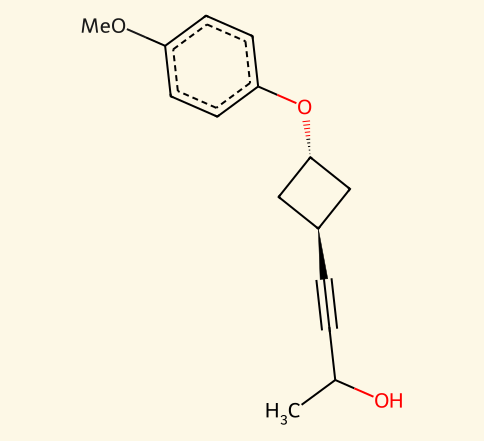 COc1ccc(O[C@H]2C[C@H](C#CC(C)O)C2)cc1